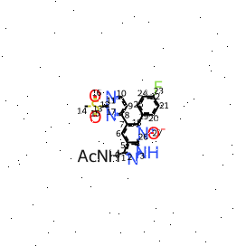 CC(=O)Nc1n[nH]c2c1cc(-c1ccnc(S(C)(=O)=O)n1)c(-c1ccc(F)cc1)[n+]2[O-]